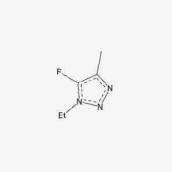 CCn1nnc(C)c1F